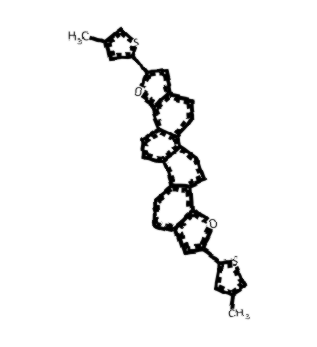 Cc1csc(-c2cc3ccc4c5ccc6c(ccc7cc(-c8cc(C)cs8)oc76)c5ccc4c3o2)c1